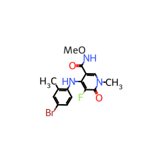 CONC(=O)c1cn(C)c(=O)c(F)c1Nc1ccc(Br)cc1C